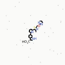 Cc1nc(COc2ncccn2)sc1-c1cccc(-c2ccc3c(C(=O)O)c[nH]c3c2)n1